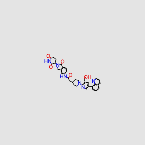 O=C1CCC(N2Cc3cc(NC(=O)CC4CCN(c5ncc(-c6cccc7cccnc67)cc5CO)CC4)ccc3C2=O)C(=O)N1